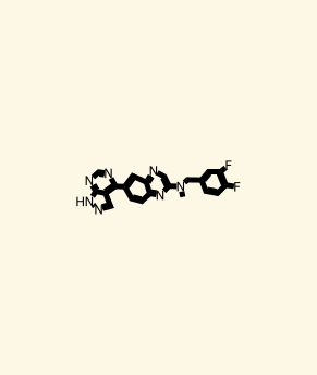 CN(Cc1ccc(F)c(F)c1)c1cnc2cc(-c3ncnc4[nH]ncc34)ccc2n1